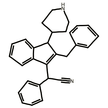 N#CC(C1=C(Cc2ccccc2)C(C2CCNCC2)c2ccccc21)c1ccccc1